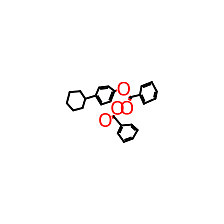 O=C(Oc1ccc(C2CCCCC2)cc1OC(=O)c1ccccc1)c1ccccc1